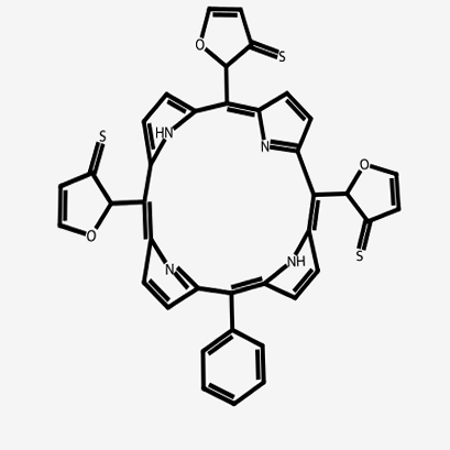 S=C1C=COC1c1c2nc(c(C3OC=CC3=S)c3ccc([nH]3)c(C3OC=CC3=S)c3nc(c(-c4ccccc4)c4ccc1[nH]4)C=C3)C=C2